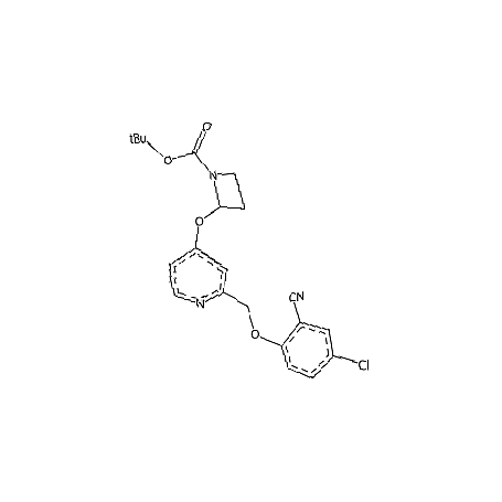 CC(C)(C)OC(=O)N1CCC1Oc1ccnc(COc2ccc(Cl)cc2C#N)c1